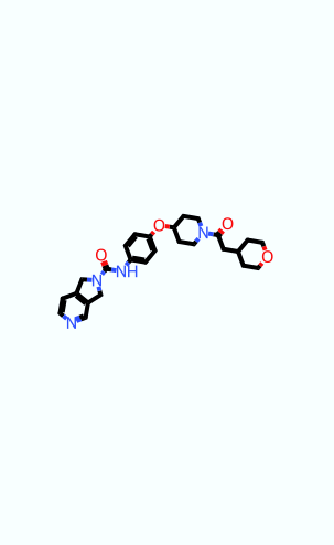 O=C(CC1CCOCC1)N1CCC(Oc2ccc(NC(=O)N3Cc4ccncc4C3)cc2)CC1